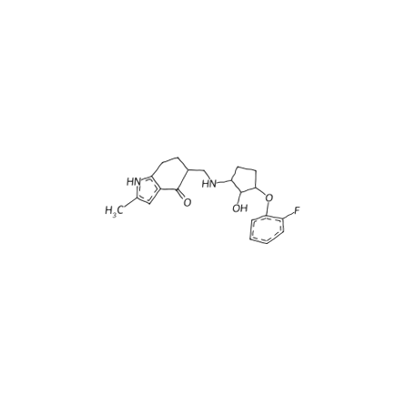 Cc1cc2c([nH]1)CCC(CNC1CCC(Oc3ccccc3F)C1O)C2=O